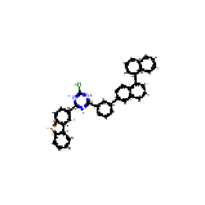 Clc1nc(-c2cccc(-c3ccc4c(-c5cccc6ccccc56)cccc4c3)c2)nc(-c2ccc3sc4ccccc4c3c2)n1